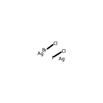 ClBr.ClI.[Ag].[Ag]